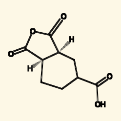 O=C(O)C1CC[C@H]2C(=O)OC(=O)[C@H]2C1